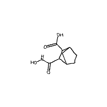 O=C(O)C1C2CCC(C2)C1C(=O)NO